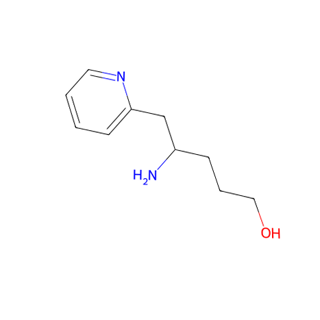 NC(CCCO)Cc1ccccn1